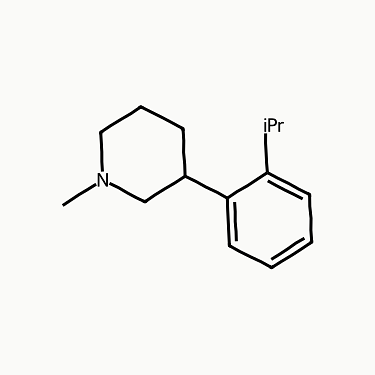 CC(C)c1ccccc1C1CCCN(C)C1